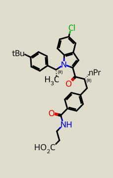 CCC[C@H](Cc1ccc(C(=O)NCCC(=O)O)cc1)C(=O)c1cc2cc(Cl)ccc2n1[C@H](C)c1ccc(C(C)(C)C)cc1